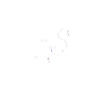 Br.COC(=O)[C@@H](N)CC(F)(F)Cc1ccccc1